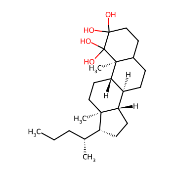 CCC[C@@H](C)[C@H]1CC[C@H]2[C@@H]3CCC4CCC(O)(O)C(O)(O)[C@]4(C)[C@H]3CC[C@]12C